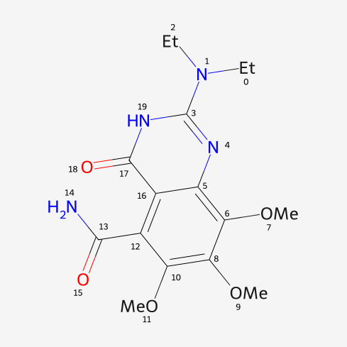 CCN(CC)c1nc2c(OC)c(OC)c(OC)c(C(N)=O)c2c(=O)[nH]1